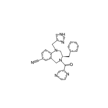 N#Cc1ccc2c(c1)CN(C(=O)c1cnccn1)[C@H](Cc1ccccc1)CN2Cc1c[nH]cn1